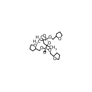 CC1(C)CC(C)(P(=O)(OCC2CCCO2)OCC2CCCO2)OP1(=O)OCC1CCCO1